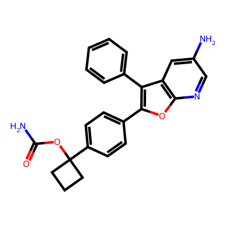 NC(=O)OC1(c2ccc(-c3oc4ncc(N)cc4c3-c3ccccc3)cc2)CCC1